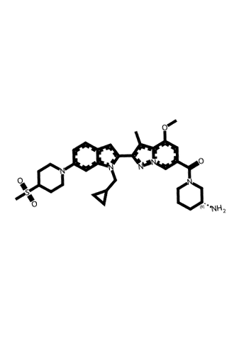 COc1cc(C(=O)N2CCC[C@@H](N)C2)cn2nc(-c3cc4ccc(N5CCC(S(C)(=O)=O)CC5)cc4n3CC3CC3)c(C)c12